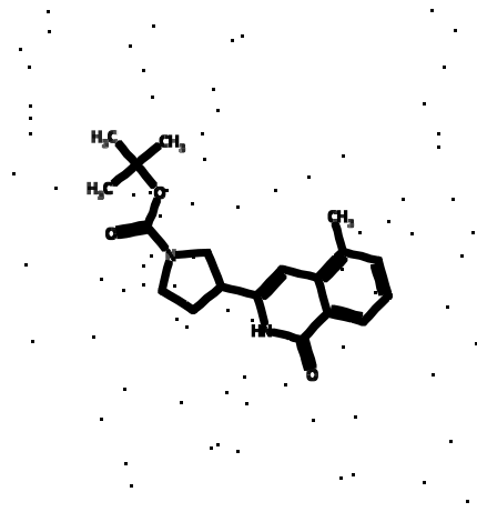 Cc1cccc2c(=O)[nH]c(C3CCN(C(=O)OC(C)(C)C)C3)cc12